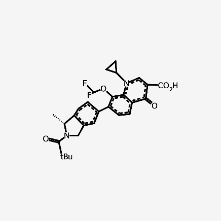 C[C@@H]1c2ccc(-c3ccc4c(=O)c(C(=O)O)cn(C5CC5)c4c3OC(F)F)cc2CN1C(=O)C(C)(C)C